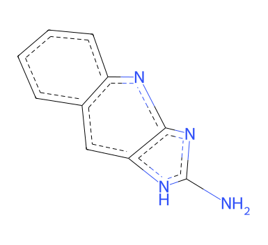 Nc1nc2nc3ccccc3cc2[nH]1